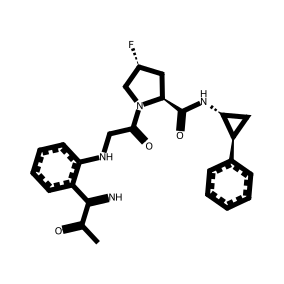 CC(=O)C(=N)c1ccccc1NCC(=O)N1C[C@H](F)C[C@H]1C(=O)N[C@@H]1C[C@H]1c1ccccc1